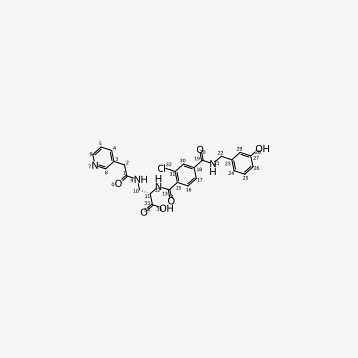 O=C(Cc1cccnc1)NC[C@H](NC(=O)c1ccc(C(=O)NCc2cccc(O)c2)cc1Cl)C(=O)O